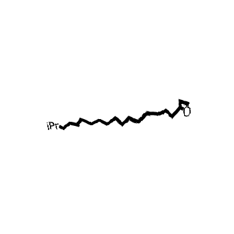 CC(C)CCCCCCCCCCCCCCCC1CCO1